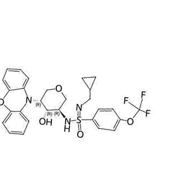 O=S(=NCC1CC1)(N[C@@H]1COC[C@@H](N2c3ccccc3Oc3ccccc32)[C@H]1O)c1ccc(OC(F)(F)F)cc1